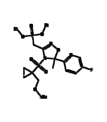 CCCCOCC1(S(=O)(=O)N2C(CP(=O)(OCC)OCC)=NOC2(C)c2ccc(F)cn2)CC1